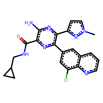 Cn1ccc(-c2nc(N)c(C(=O)NCC3CC3)nc2-c2cc(Cl)c3ncccc3c2)n1